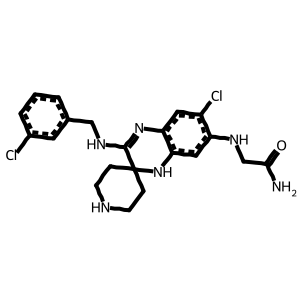 NC(=O)CNc1cc2c(cc1Cl)N=C(NCc1cccc(Cl)c1)C1(CCNCC1)N2